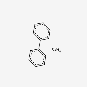 [GeH4].c1ccc(-c2ccccc2)cc1